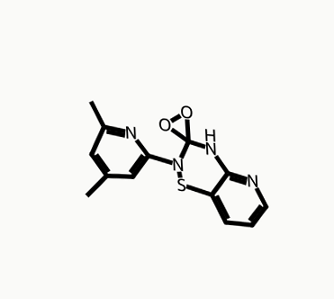 Cc1cc(C)nc(N2Sc3cccnc3NC23OO3)c1